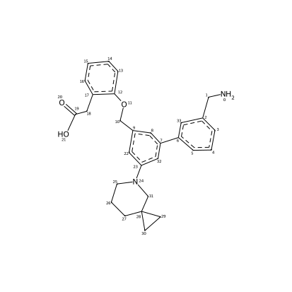 NCc1cccc(-c2cc(COc3ccccc3CC(=O)O)cc(N3CCCC4(CC4)C3)c2)c1